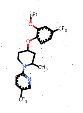 CCCOc1cc(C(F)(F)F)ccc1OC1CCN(c2ccc(C(F)(F)F)cn2)C(C)C1